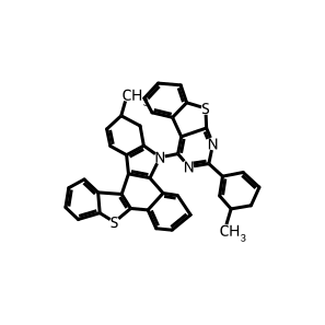 CC1C=C(c2nc(-n3c4c(c5c6c7ccccc7sc6c6ccccc6c53)C=CC(C)C4)c3c(n2)sc2ccccc23)C=CC1